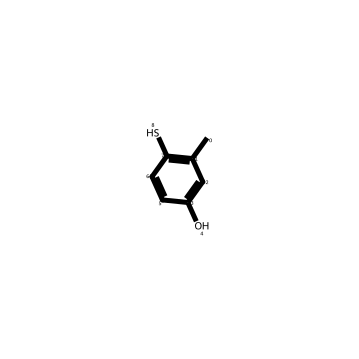 Cc1cc(O)ccc1S